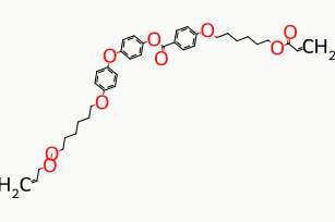 C=CCOOCCCCCCOc1ccc(Oc2ccc(OC(=O)c3ccc(OCCCCCCOC(=O)C=C)cc3)cc2)cc1